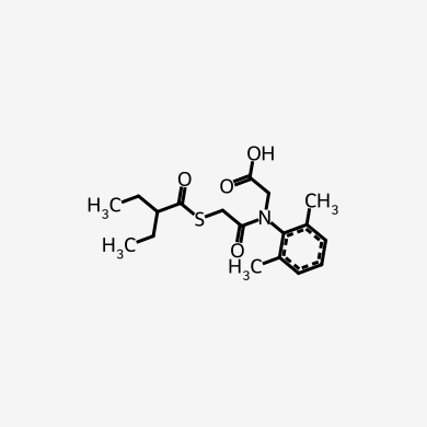 CCC(CC)C(=O)SCC(=O)N(CC(=O)O)c1c(C)cccc1C